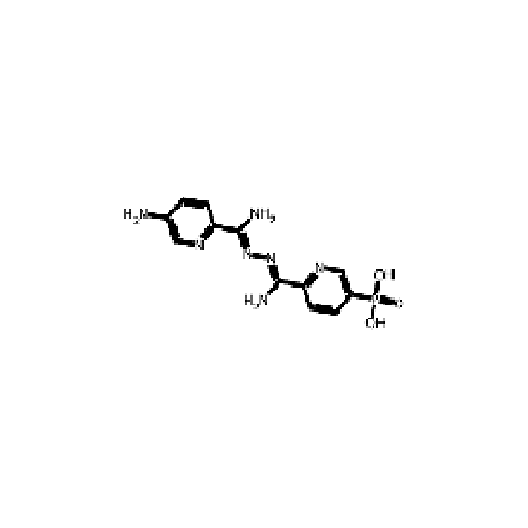 N/C(=N\N=C(/N)c1ccc(P(=O)(O)O)cn1)c1ccc(N)cn1